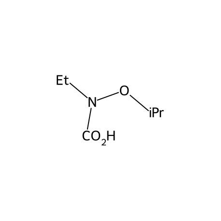 [CH2]CN(OC(C)C)C(=O)O